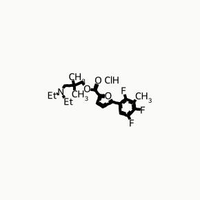 CCN(CC)CC(C)(C)COC(=O)c1ccc(-c2cc(F)c(F)c(C)c2F)o1.Cl